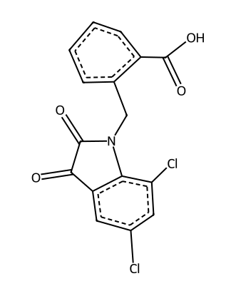 O=C(O)c1ccccc1CN1C(=O)C(=O)c2cc(Cl)cc(Cl)c21